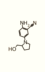 N#Cc1cc(N2CCCC2CO)ccc1N